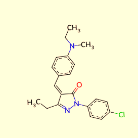 CCC1=NN(c2ccc(Cl)cc2)C(=O)C1=Cc1ccc(N(C)CC)cc1